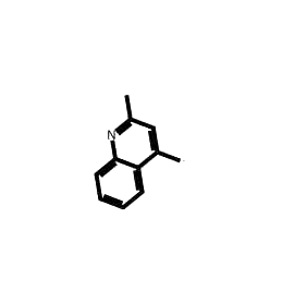 [CH2]c1cc(C)nc2ccccc12